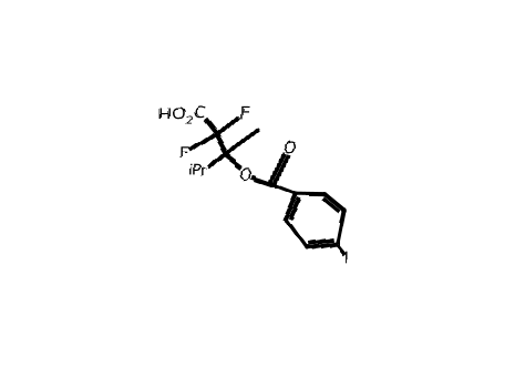 CC(C)C(C)(OC(=O)c1ccc(I)cc1)C(F)(F)C(=O)O